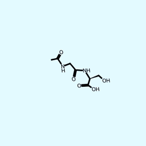 CC(=O)NCC(=O)N[C@@H](CO)C(=O)O